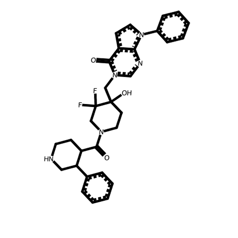 O=C(C1CCNCC1c1ccccc1)N1CCC(O)(Cn2cnc3c(ccn3-c3ccccc3)c2=O)C(F)(F)C1